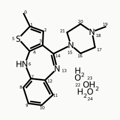 Cc1cc2c(s1)Nc1ccccc1N=C2N1CCN(C)CC1.O.O.O